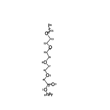 CCCOC(=O)COCCOCCOCCOSI